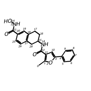 Cc1oc(-c2ccccc2)cc1C(=O)NC1CCc2cc(C(=O)NO)ccc2C1